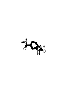 CN(C)C(=O)c1ccc2[nH]c(=O)[nH]c2c1